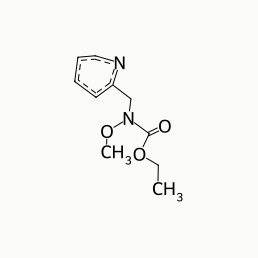 CCOC(=O)N(Cc1ccccn1)OC